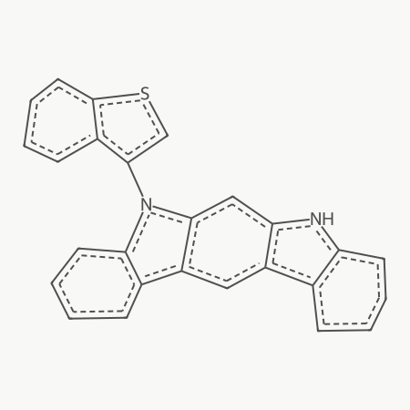 c1ccc2c(c1)[nH]c1cc3c(cc12)c1ccccc1n3-c1csc2ccccc12